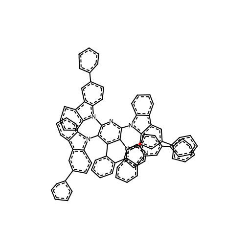 c1ccc(-c2ccc3c(c2)c2ccccc2n3-c2nc(-n3c4ccccc4c4cc(-c5ccccc5)ccc43)c(-n3c4ccccc4c4cc(-c5ccccc5)ccc43)c(-c3ccccc3-c3ccncc3)c2-n2c3ccccc3c3cc(-c4ccccc4)ccc32)cc1